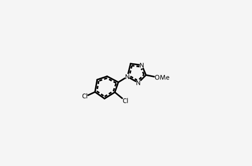 [CH2]Oc1ncn(-c2ccc(Cl)cc2Cl)n1